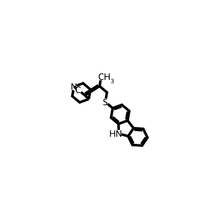 CC(CSc1ccc2c(c1)[nH]c1ccccc12)=C1CN2CCC1CC2